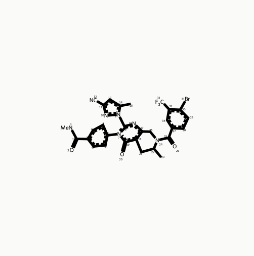 CNC(=O)c1ccc(-n2c(-n3nc(C#N)cc3C)nc3c(c2=O)CC(C)N(C(=O)c2ccc(Br)c(C(F)(F)F)c2)C3)cc1